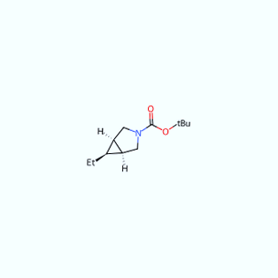 CC[C@H]1[C@H]2CN(C(=O)OC(C)(C)C)C[C@@H]12